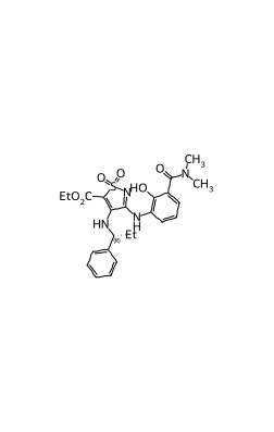 CCOC(=O)C1=C(N[C@H](CC)c2ccccc2)C(Nc2cccc(C(=O)N(C)C)c2O)=NS1(=O)=O